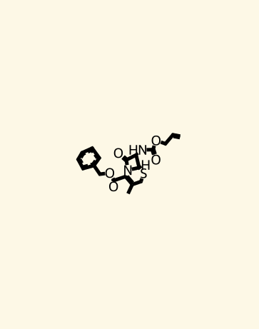 C=CCOC(=O)N[C@@H]1C(=O)N2C(C(=O)OCc3ccccc3)=C(C)CS[C@@H]12